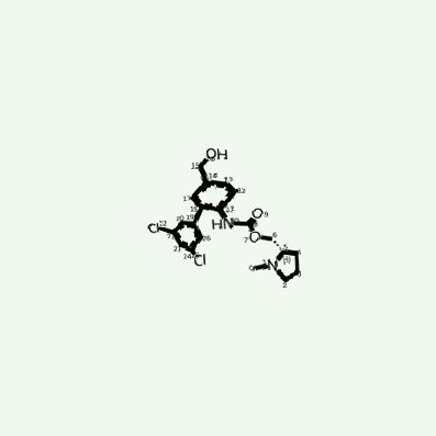 CN1CCC[C@H]1COC(=O)Nc1ccc(CO)cc1-c1cc(Cl)cc(Cl)c1